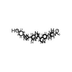 CC(=O)N1C[C@@H]2C[C@H]1CN2c1ccc2c(-c3cnc4cc(-c5cnn([C@H]6CC[C@H](O)CC6)c5)c(C)nn34)ccnc2c1